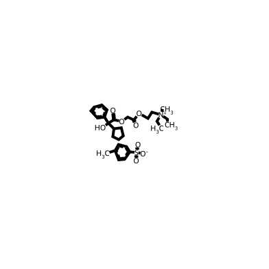 CC[N+](C)(CC)CCOC(=O)COC(=O)C(O)(c1ccccc1)C1CCCC1.Cc1ccc(S(=O)(=O)[O-])cc1